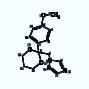 COc1ccc(C2(Cn3cncn3)OCCCO2)cc1